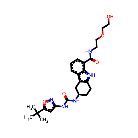 CC(C)(C)c1cc(NC(=O)NC2CCc3[nH]c4c(C(=O)NCCOCCO)cccc4c3C2)no1